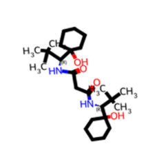 CC(C)(C)[C@@H](NC(=O)CC(=O)N[C@H](C(C)(C)C)C1(O)CCCCC1)C1(O)CCCCC1